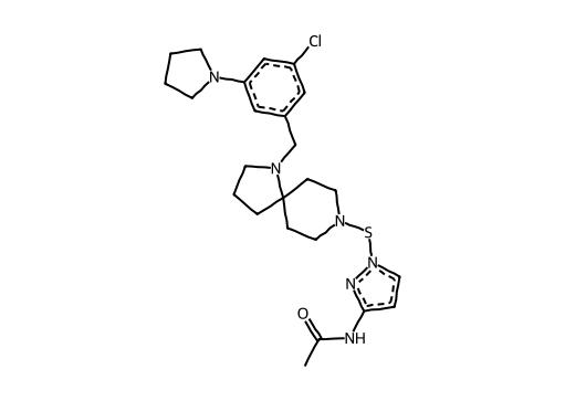 CC(=O)Nc1ccn(SN2CCC3(CCCN3Cc3cc(Cl)cc(N4CCCC4)c3)CC2)n1